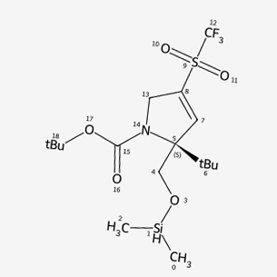 C[SiH](C)OC[C@@]1(C(C)(C)C)C=C(S(=O)(=O)C(F)(F)F)CN1C(=O)OC(C)(C)C